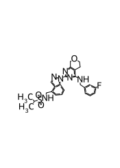 CC(C)S(=O)(=O)NCc1cccc2c1cnn2-c1nc2c(c(NCc3cccc(F)c3)n1)CCOC2